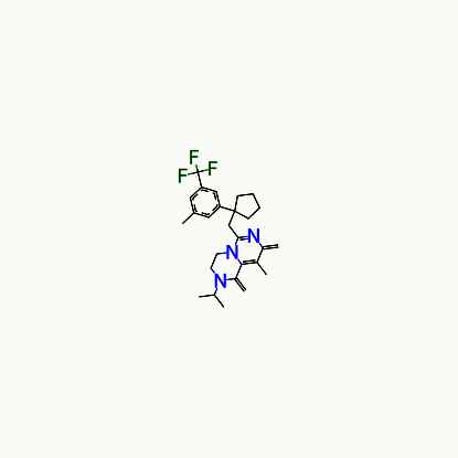 C=C1N=C(CC2(c3cc(C)cc(C(F)(F)F)c3)CCCC2)N2CCN(C(C)C)C(=C)C2=C1C